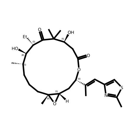 CC[C@@H]1C(=O)C(C)(C)[C@@H](O)CC(=O)O[C@H](C(C)=Cc2csc(C)n2)C[C@@H]2O[C@]2(C)CCC[C@H](C)[C@H]1O